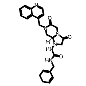 O=C(NCC1=CCCC=C1)NN1CC(=O)N2CC(=O)N(Cc3ccnc4ccccc34)C[C@H]12